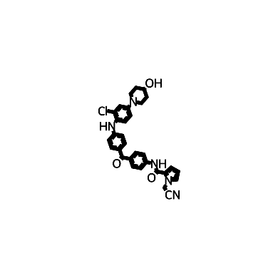 N#CCn1cccc1C(=O)Nc1ccc(C(=O)c2ccc(Nc3ccc(N4CCC(O)CC4)cc3Cl)cc2)cc1